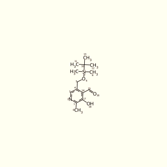 Cc1ncc(CO[Si](C)(C)C(C)(C)C)c(C=O)c1O